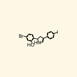 Oc1cc(Br)ccc1C1CC(c2ccc(I)cc2)=CN1